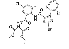 CCOC(=O)N(NC(=O)c1cc(Cl)cc(C)c1NC(=O)c1cc(Br)nn1-c1ncccc1Cl)C(=O)OC